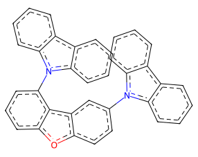 c1cc(-n2c3ccccc3c3ccccc32)c2c(c1)oc1ccc(-n3c4ccccc4c4ccccc43)cc12